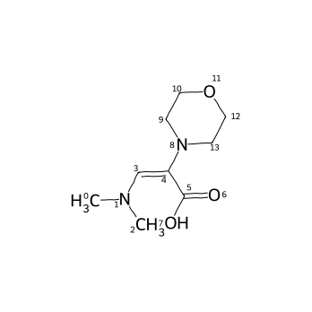 CN(C)C=C(C(=O)O)N1CCOCC1